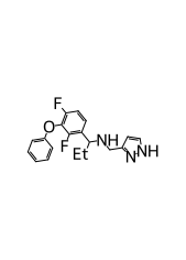 CCC(NCc1cc[nH]n1)c1ccc(F)c(Oc2ccccc2)c1F